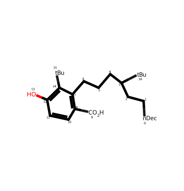 CCCCCCCCCCCCC(CCCc1c(C(=O)O)ccc(O)c1C(C)(C)C)C(C)(C)C